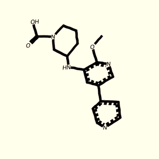 COc1ncc(-c2ccncc2)cc1NC1CCCN(C(=O)O)C1